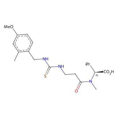 COc1ccc(CNC(=S)NCCC(=O)N(C)[C@H](C(=O)O)C(C)C)c(C)c1